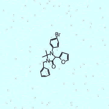 CC1(C)N(Cc2ccccc2)C(=O)C(c2ccco2)N1c1ccc(Br)cc1